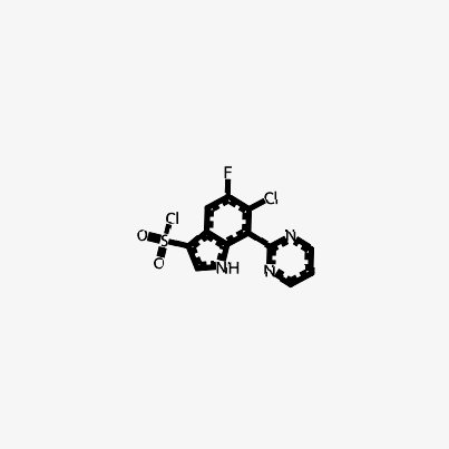 O=S(=O)(Cl)c1c[nH]c2c(-c3ncccn3)c(Cl)c(F)cc12